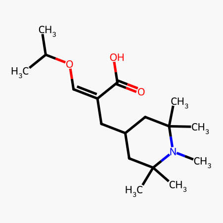 CC(C)OC=C(CC1CC(C)(C)N(C)C(C)(C)C1)C(=O)O